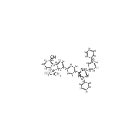 CC1(C)c2cc(-c3ccc(-c4nc(-c5ccccc5)nc(-c5cccc(-c6ccccc6)c5)n4)cc3)ccc2-c2c(C#N)cccc21